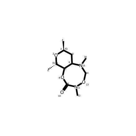 C[C@@H]1O[C@@H](C)CC2C1OC(=O)N(C)OCN2C